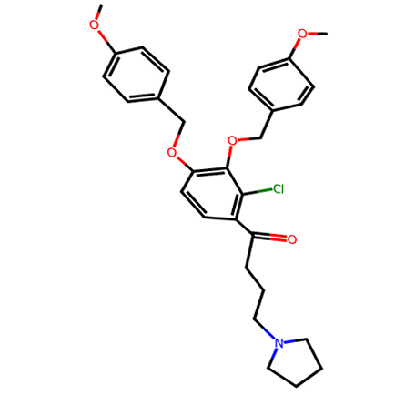 COc1ccc(COc2ccc(C(=O)CCCN3CCCC3)c(Cl)c2OCc2ccc(OC)cc2)cc1